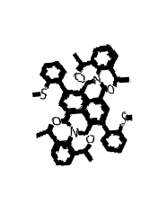 CSc1ccccc1-c1cc2c3c(c(-c4ccccc4SC)cc4c3c1C(=O)N(c1c(C(C)C)cccc1C(C)C)C4=O)C(=O)N(c1c(C(C)C)cccc1C(C)C)C2=O